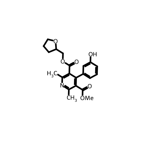 COC(=O)c1c(C)nc(C)c(C(=O)OCC2CCCO2)c1-c1cccc(O)c1